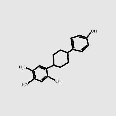 Cc1cc(C2CCC(c3ccc(O)cc3)CC2)c(C)cc1O